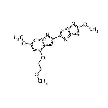 COCCOc1cc(OC)cn2nc(-c3cn4nc(OC)sc4n3)cc12